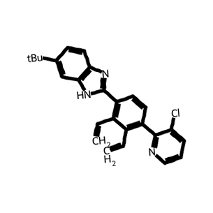 C=Cc1c(-c2nc3ccc(C(C)(C)C)cc3[nH]2)ccc(-c2ncccc2Cl)c1C=C